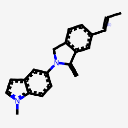 C=C1c2cc(/C=C/C)ccc2CN1c1ccc2c(ccn2C)c1